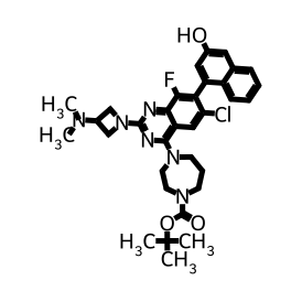 CN(C)C1CN(c2nc(N3CCCN(C(=O)OC(C)(C)C)CC3)c3cc(Cl)c(-c4cc(O)cc5ccccc45)c(F)c3n2)C1